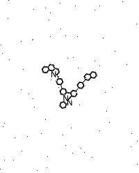 c1ccc2cc(-c3ccc(-c4ccc5c(c4)c4cc(-c6ccc(-c7ccc8ccc9ccccc9c8n7)cc6)ccc4n4c6ccccc6nc54)cc3)ccc2c1